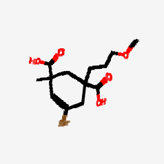 COCCCC1(C(=O)O)CC(Br)=CC(C)(C(=O)O)C1